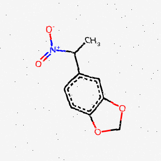 CC(c1ccc2c(c1)OCO2)[N+](=O)[O-]